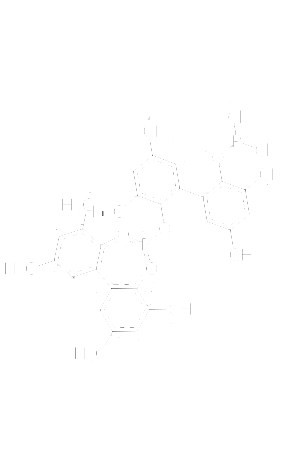 Cc1cc(C)c(OP(Cl)Cl)c(-c2cc(C)cc(C)c2Op2oc3c(C)cc(C)cc3c3cc(C)cc(C)c3o2)c1